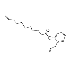 C=CCCCCCCCCC(=O)Oc1ccccc1CC=C